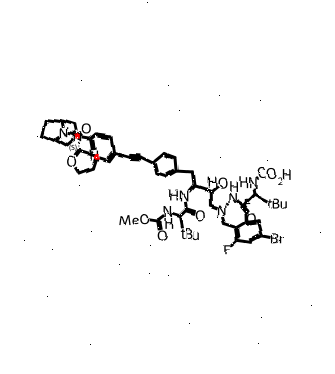 COC(=O)NC(C(=O)NC(Cc1ccc(C#Cc2ccc(N3CC4CCC(C3)N4C(=O)[C@@H]3CCCO3)nc2)cc1)C(O)CN(Cc1c(F)cc(Br)cc1F)NC(=O)C(NC(=O)O)C(C)(C)C)C(C)(C)C